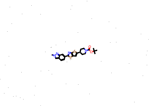 Cn1cc2ccc(-c3nc4sc(C5CCN(C(=O)OC(C)(C)C)CC5)cc4s3)cc2n1